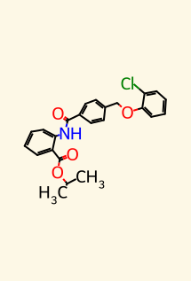 CC(C)OC(=O)c1ccccc1NC(=O)c1ccc(COc2ccccc2Cl)cc1